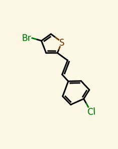 Clc1ccc(C=Cc2cc(Br)cs2)cc1